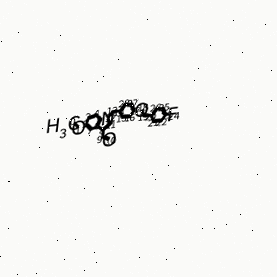 COc1ccc2c(c1)c(C=O)cn2Cc1ccc(OCc2ccc(F)cc2)cc1